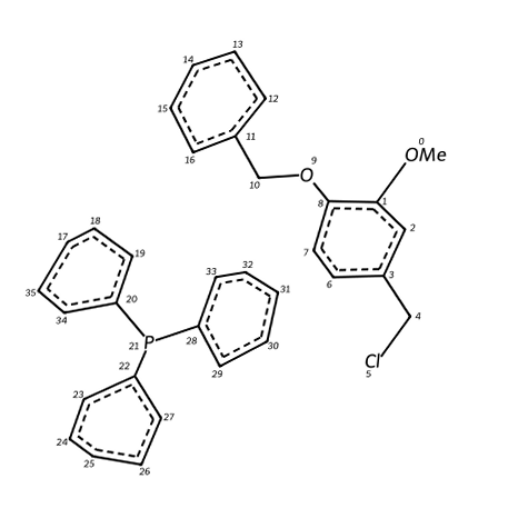 COc1cc(CCl)ccc1OCc1ccccc1.c1ccc(P(c2ccccc2)c2ccccc2)cc1